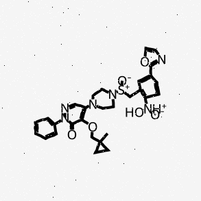 CC1(COc2c(N3CCN([S+]([O-])Cc4cc(-c5ncco5)ccc4[N@H+]([O-])O)CC3)cnn(-c3ccccc3)c2=O)CC1